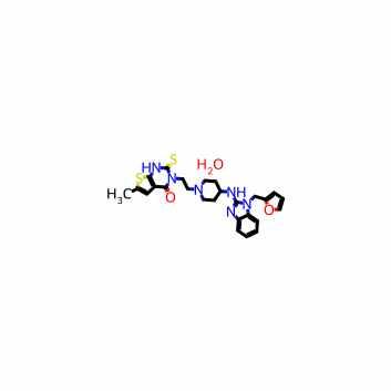 Cc1cc2c(=O)n(CCN3CCC(Nc4nc5ccccc5n4Cc4ccco4)CC3)c(=S)[nH]c2s1.O